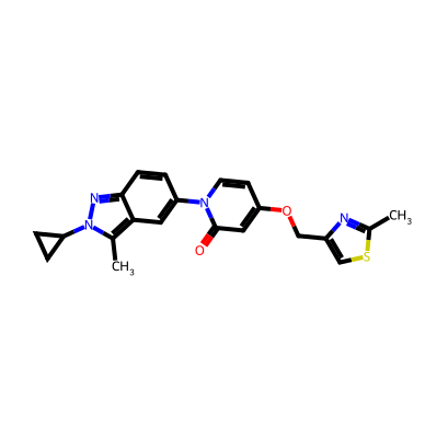 Cc1nc(COc2ccn(-c3ccc4nn(C5CC5)c(C)c4c3)c(=O)c2)cs1